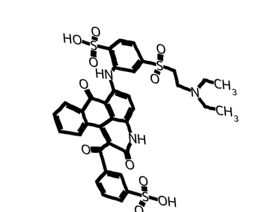 CCN(CC)CCS(=O)(=O)c1ccc(S(=O)(=O)O)c(Nc2ccc3[nH]c(=O)c(C(=O)c4cccc(S(=O)(=O)O)c4)c4c3c2C(=O)c2ccccc2-4)c1